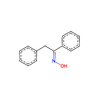 ON=C([CH]c1ccccc1)c1ccccc1